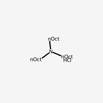 CCCCCCCCN(CCCCCCCC)CCCCCCCC.Cl